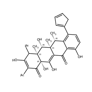 CC(=O)C1=C(O)C(C(C)C)[C@@]2(C)[C@H](O)[C@]3(C)C(=C(O)[C@@]2(O)C1=O)C(=O)c1c(O)ccc(C2=CC=CC2)c1[C@H]3C